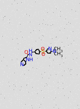 CN(C)c1ccc(S(=O)(=O)c2ccc(CNC(=O)c3cc4cnccc4[nH]3)cc2)cn1